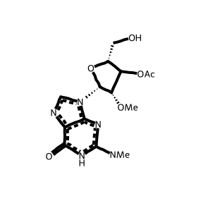 CNc1nc2c(ncn2[C@@H]2O[C@H](CO)C(OC(C)=O)[C@@H]2OC)c(=O)[nH]1